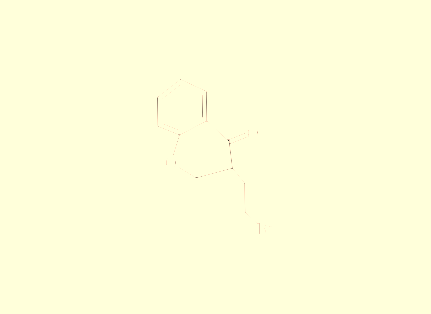 O=C1c2ccccc2OCC1CCBr